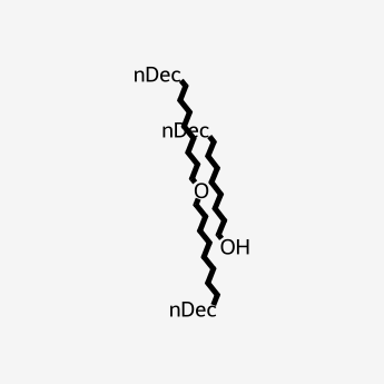 CCCCCCCCCCCCCCCCCCO.CCCCCCCCCCCCCCCCCCOCCCCCCCCCCCCCCCCCC